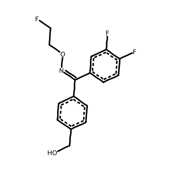 OCc1ccc(C(=NOCCF)c2ccc(F)c(F)c2)cc1